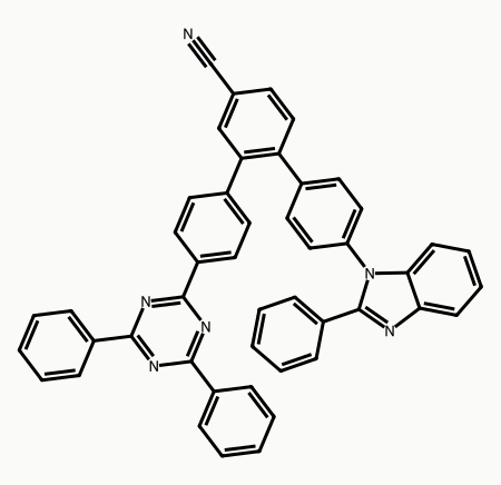 N#Cc1ccc(-c2ccc(-n3c(-c4ccccc4)nc4ccccc43)cc2)c(-c2ccc(-c3nc(-c4ccccc4)nc(-c4ccccc4)n3)cc2)c1